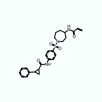 C=CC(=O)NC1CCCN(S(=O)(=O)c2ccc(NC(=O)C3CC3c3ccccc3)cc2)CC1